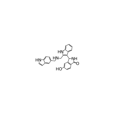 O=C1NC(c2c(CNCc3ccc4[nH]ccc4c3)[nH]c3ccccc23)c2cc(O)ccc21